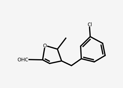 CC1OC(C=O)=CC1Cc1cccc(Cl)c1